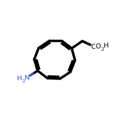 Nc1ccccc(CC(=O)O)cccc1